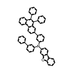 c1ccc(-c2cccc(N(c3cccc(-c4ccc5c(c4)c(-c4ccccc4)c(-c4ccccc4)c4ccccc45)c3)c3ccc4c(c3)oc3ccccc34)c2)cc1